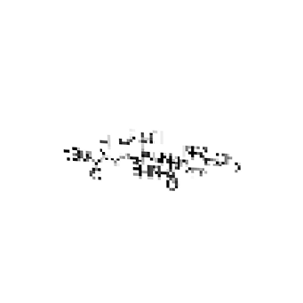 CC(C)(C)C(=O)NCc1ccc(Cl)c(-c2nn(-c3ccc(C(F)(F)F)cn3)c(=O)[nH]2)c1F